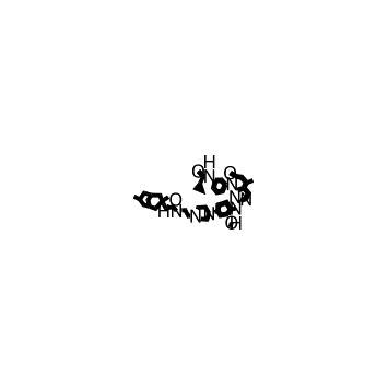 COc1cc(N2CCN(CCNC(=O)CC3(C)CC4CC(C)CC(C4)C3)CC2)ccc1Nc1ncc2c(C)cc(=O)n(-c3cccc(NC(=O)C4CC4)c3)c2n1